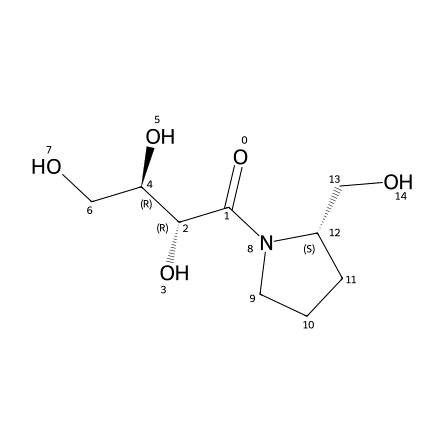 O=C([C@H](O)[C@H](O)CO)N1CCC[C@H]1CO